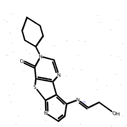 O=c1c2sc3nccc(/N=C/CO)c3c2ncn1C1CCCCC1